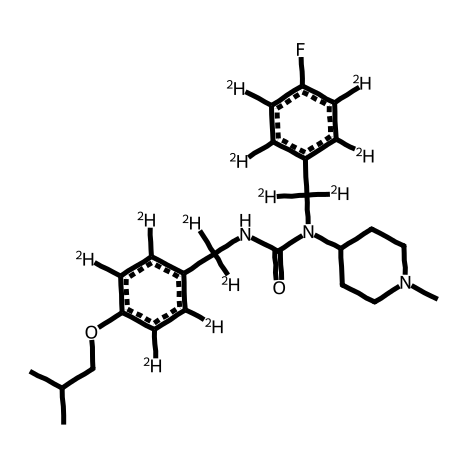 [2H]c1c([2H])c(C([2H])([2H])N(C(=O)NC([2H])([2H])c2c([2H])c([2H])c(OCC(C)C)c([2H])c2[2H])C2CCN(C)CC2)c([2H])c([2H])c1F